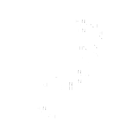 C[C@H](N)CCCc1cc(Cl)c(F)c(-c2cc3cn(-c4ccc([C@@H](NCCCNC(=N)N)C(=O)N5CCNCC5)cc4)c(=O)nc3[nH]2)c1